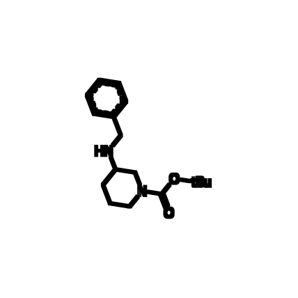 CC(C)(C)OC(=O)N1CCCC(NCc2ccccc2)C1